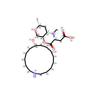 C[C@@H]1C[C@H](N(C)C)[C@@H](OC(=O)CCC(=O)O)[C@H](O[C@@H]2CCCCCCCCNCCCCC2)O1